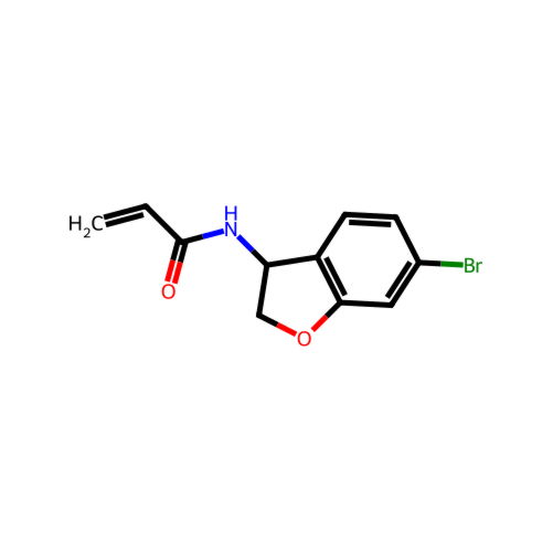 C=CC(=O)NC1COc2cc(Br)ccc21